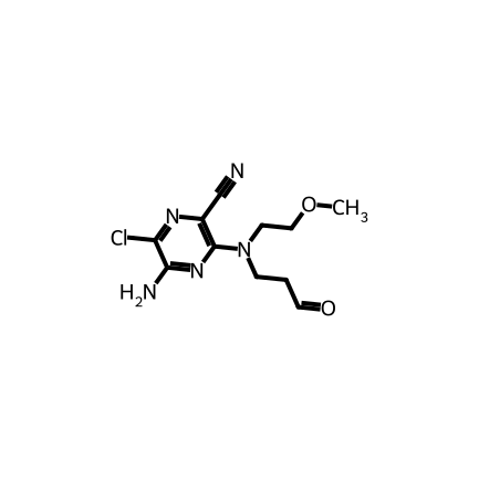 COCCN(CCC=O)c1nc(N)c(Cl)nc1C#N